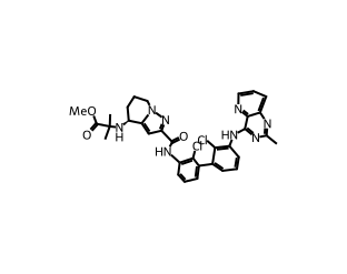 COC(=O)C(C)(C)N[C@H]1CCCn2nc(C(=O)Nc3cccc(-c4cccc(Nc5nc(C)nc6cccnc56)c4Cl)c3Cl)cc21